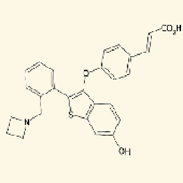 O=C(O)C=Cc1ccc(Oc2c(-c3ccccc3CN3CCC3)sc3cc(O)ccc23)cc1